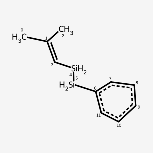 CC(C)=C[SiH2][SiH2]c1ccccc1